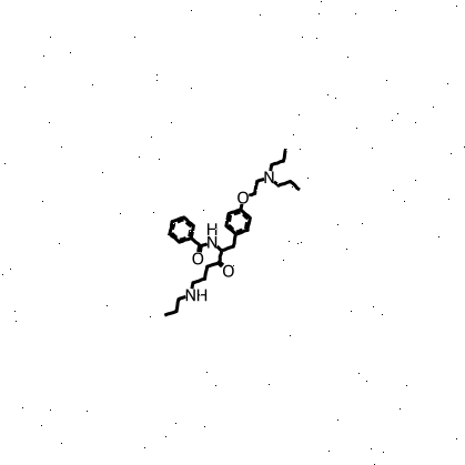 CCCNCCCC(=O)C(Cc1ccc(OCCN(CCC)CCC)cc1)NC(=O)c1ccccc1